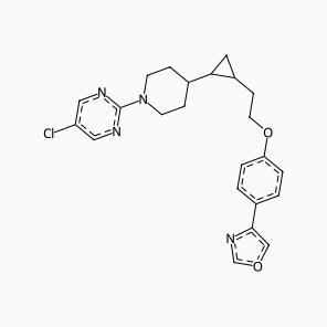 Clc1cnc(N2CCC(C3CC3CCOc3ccc(-c4cocn4)cc3)CC2)nc1